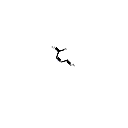 C=C/N=C\C(=C)Br